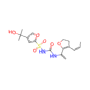 C=C(NC(=O)NS(=O)(=O)c1cc(C(C)(C)O)co1)C1=C(/C=C\C)CCO1